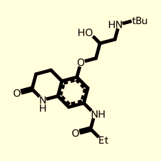 CCC(=O)Nc1cc2c(c(OCC(O)CNC(C)(C)C)c1)CCC(=O)N2